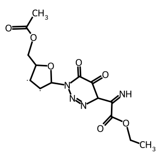 CCOC(=O)C(=N)C1N=NN(C2[CH][CH]C(COC(C)=O)O2)C(=O)C1=O